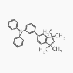 CC1(C)CC(C)(C)c2cc(-c3cccc(N(c4ccccc4)c4ccccc4)c3)ccc21